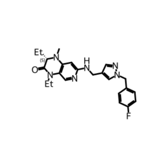 CC[C@H]1C(=O)N(CC)c2cnc(NCc3cnn(Cc4ccc(F)cc4)c3)cc2N1C